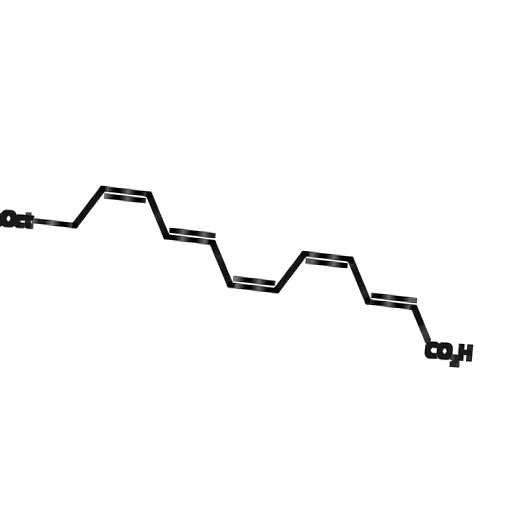 CCCCCCCCC\C=C/C=C/C=C\C=C/C=C/C(=O)O